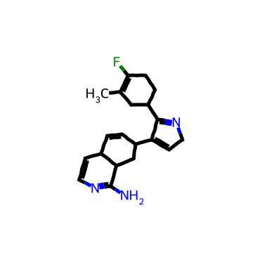 CC1=C(F)CCC(C2=NCC=C2C2C=CC3C=CN=C(N)C3C2)C1